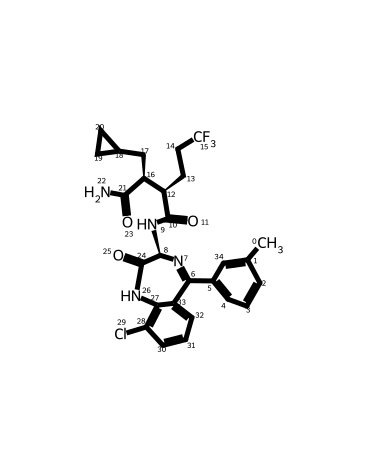 Cc1cccc(C2=N[C@H](NC(=O)[C@H](CCC(F)(F)F)[C@H](CC3CC3)C(N)=O)C(=O)Nc3c(Cl)cccc32)c1